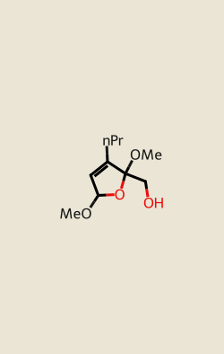 CCCC1=CC(OC)OC1(CO)OC